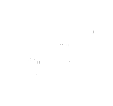 C=CC1(c2cc(Cl)ccc2NC)CCN(CCCc2cnc(C3(SC)CCC3)nc2)CC1